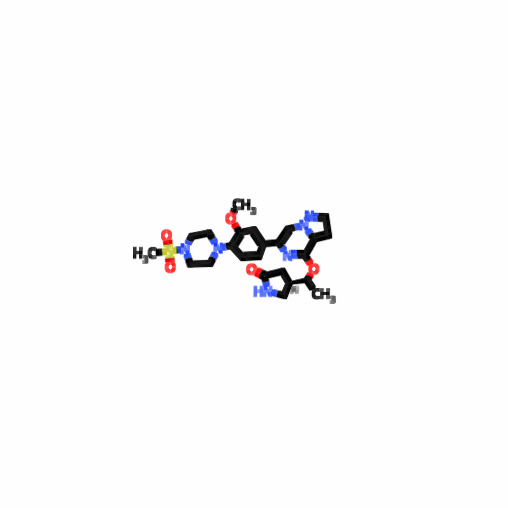 COc1cc(-c2cn3nccc3c(OC(C)[C@H]3CNC(=O)C3)n2)ccc1N1CCN(S(C)(=O)=O)CC1